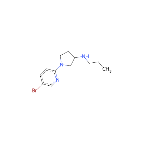 CCCNC1CCN(c2ccc(Br)cn2)C1